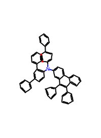 c1ccc(-c2ccc(N(c3ccc4c(c3)c(-c3ccccc3)c(-c3ccccc3)c3ccccc34)c3ccc(-c4ccccc4)cc3-c3ccccc3)cc2)cc1